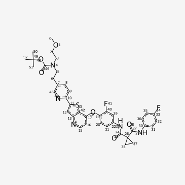 COCCN(CCc1ccc(-c2cc3nccc(Oc4ccc(NC(=O)C5(C(=O)Nc6ccc(F)cc6)CC5)cc4F)c3s2)nc1)C(=O)OC(C)(C)C